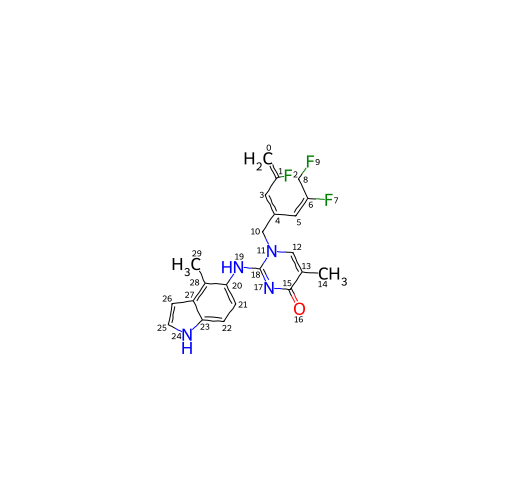 C=C(F)/C=C(\C=C(\F)CF)Cn1cc(C)c(=O)nc1Nc1ccc2[nH]ccc2c1C